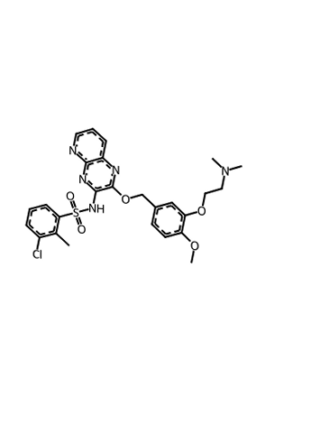 COc1ccc(COc2nc3cccnc3nc2NS(=O)(=O)c2cccc(Cl)c2C)cc1OCCN(C)C